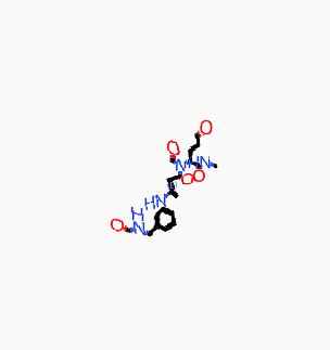 CNC(=O)C(CCC=O)N(C=O)C(=O)/C=C(\C)Nc1cccc(CNC=O)c1